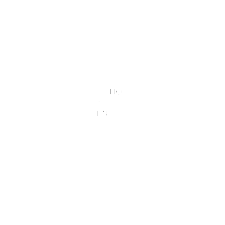 CC(C)C(CO)NC(C)(C)C